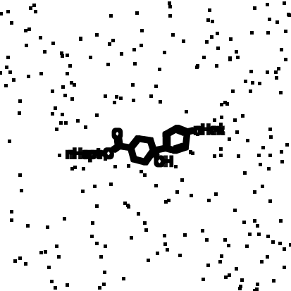 CCCCCCCOC(=O)C1CCC(O)(c2ccc(CCCCCC)cc2)CC1